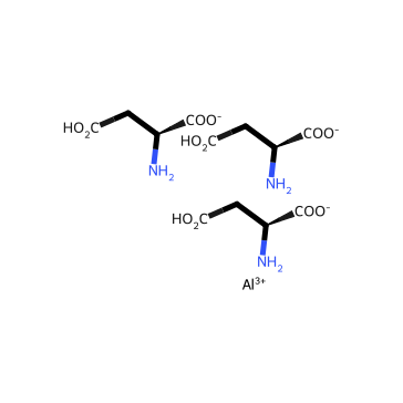 N[C@@H](CC(=O)O)C(=O)[O-].N[C@@H](CC(=O)O)C(=O)[O-].N[C@@H](CC(=O)O)C(=O)[O-].[Al+3]